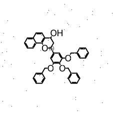 OC1C[C@@H](c2cc(OCc3ccccc3)c(OCc3ccccc3)c(OCc3ccccc3)c2)Oc2c1ccc1ccccc21